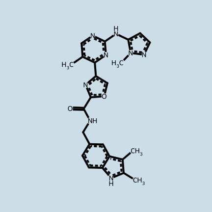 Cc1cnc(Nc2ccnn2C)nc1-c1coc(C(=O)NCc2ccc3[nH]c(C)c(C)c3c2)n1